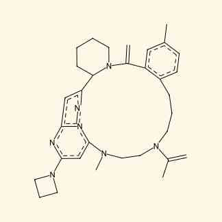 C=C(C)N1CCCc2ccc(C)cc2C(=C)N2CCCCC2c2cc3nc(N4CCC4)cc(n3n2)N(C)CC1